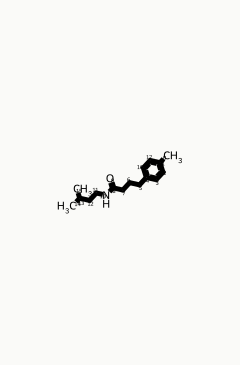 Cc1ccc(CCCC(=O)NCCC(C)C)cc1